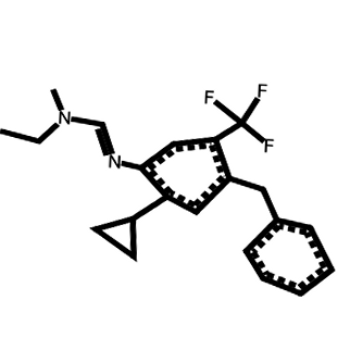 CCN(C)C=Nc1cc(C(F)(F)F)c(Cc2ccccc2)cc1C1CC1